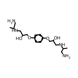 CC(CN)NCC(O)COc1ccc(OCC(O)CNC(C)CN)cc1